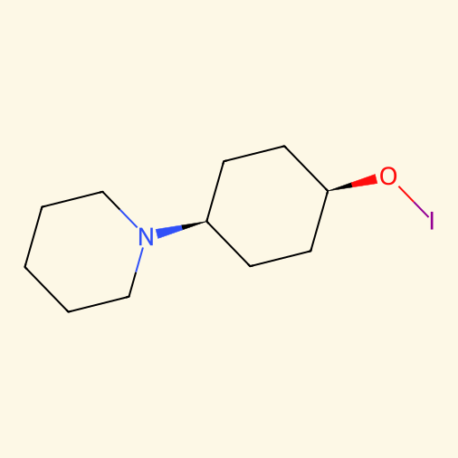 IO[C@H]1CC[C@@H](N2CCCCC2)CC1